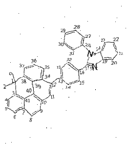 CC1(C)c2cccc3ccc4cc(-c5ccc(-c6nc7ccccc7n6-c6ccccc6)cc5)c5cccc1c5c4c23